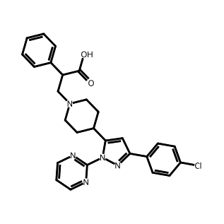 O=C(O)C(CN1CCC(c2cc(-c3ccc(Cl)cc3)nn2-c2ncccn2)CC1)c1ccccc1